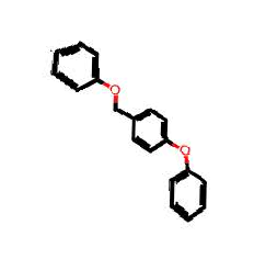 [c]1ccc(OCc2ccc(Oc3ccccc3)cc2)cc1